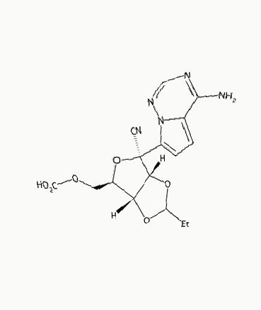 CCC1O[C@H]2[C@@H](O1)[C@](C#N)(c1ccc3c(N)ncnn13)O[C@@H]2COC(=O)O